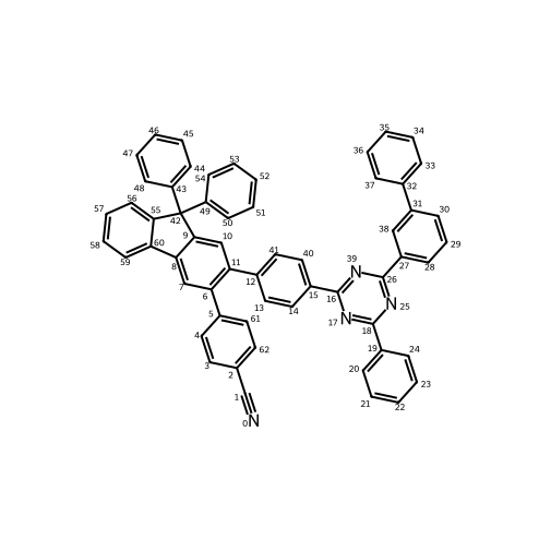 N#Cc1ccc(-c2cc3c(cc2-c2ccc(-c4nc(-c5ccccc5)nc(-c5cccc(-c6ccccc6)c5)n4)cc2)C(c2ccccc2)(c2ccccc2)c2ccccc2-3)cc1